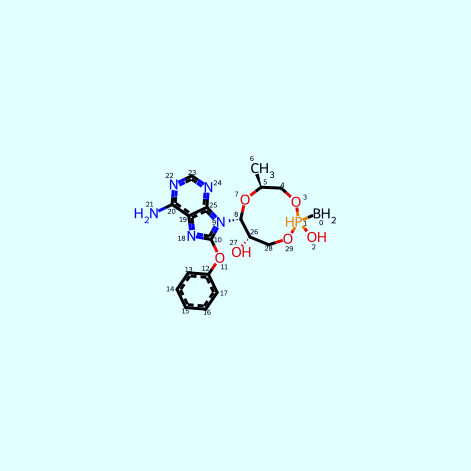 B[PH]1(O)OC[C@H](C)O[C@@H](n2c(Oc3ccccc3)nc3c(N)ncnc32)[C@@H](O)CO1